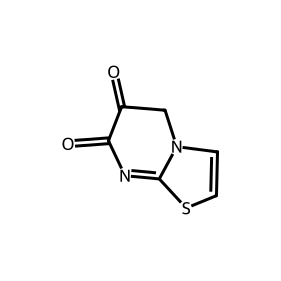 O=C1CN2C=CSC2=NC1=O